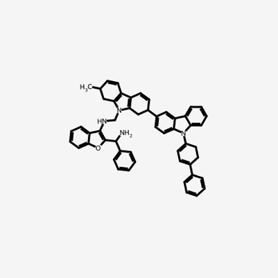 CC1C=Cc2c3c(n(CNc4c(C(N)c5ccccc5)oc5ccccc45)c2C1)CC(c1ccc2c(c1)c1ccccc1n2C1=CC=C(c2ccccc2)CC1)C=C3